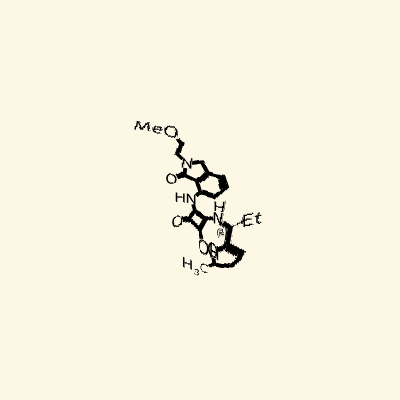 CC[C@@H](NC1=C(Nc2cccc3c2C(=O)N(CCOC)C3)C(=O)C1O)c1ccc(C)o1